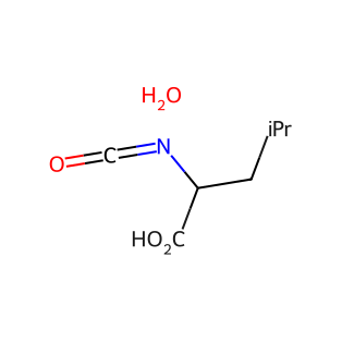 CC(C)CC(N=C=O)C(=O)O.O